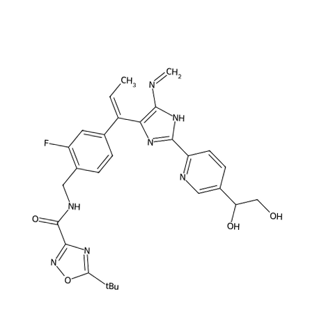 C=Nc1[nH]c(-c2ccc(C(O)CO)cn2)nc1/C(=C\C)c1ccc(CNC(=O)c2noc(C(C)(C)C)n2)c(F)c1